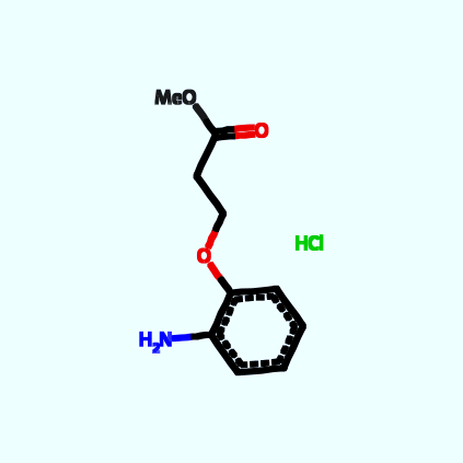 COC(=O)CCOc1ccccc1N.Cl